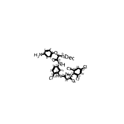 CCCCCCCCCCC(Oc1ccc(N)cc1)C(=O)Nc1ccc(Cl)c(NC2=NN(c3c(Cl)cc(Cl)cc3Cl)C(=O)C2)c1